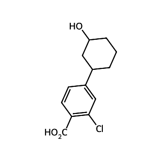 O=C(O)c1ccc(C2CCCC(O)C2)cc1Cl